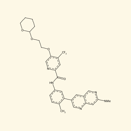 CNc1cc2ncc(-c3cc(NC(=O)c4cc(C(F)(F)F)c(OCCOC5CCCCO5)cn4)ccc3C)cc2cn1